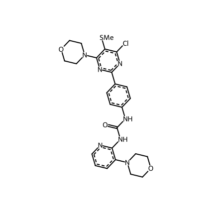 CSc1c(Cl)nc(-c2ccc(NC(=O)Nc3ncccc3N3CCOCC3)cc2)nc1N1CCOCC1